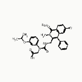 CC(C)Oc1cccc(N(CC(=O)O)C(=O)NCc2c(-c3ccccc3)c3cc(Cl)ccc3c(=O)n2C)c1.[NaH]